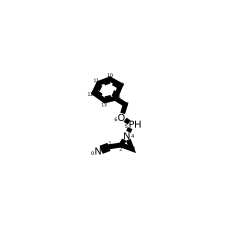 N#CC1CN1POCc1ccccc1